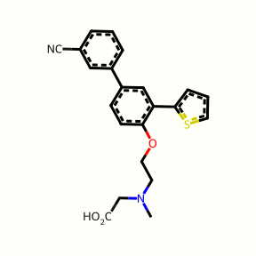 CN(CCOc1ccc(-c2cccc(C#N)c2)cc1-c1cccs1)CC(=O)O